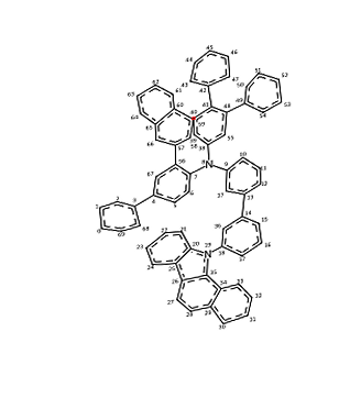 c1ccc(-c2ccc(N(c3cccc(-c4cccc(-n5c6ccccc6c6ccc7ccccc7c65)c4)c3)c3ccc(-c4ccccc4)c(-c4ccccc4)c3)c(-c3ccc4ccccc4c3)c2)cc1